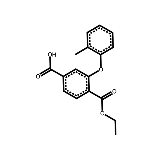 CCOC(=O)c1ccc(C(=O)O)cc1Oc1ccccc1C